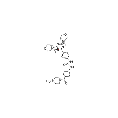 CN1CCN(C(=O)c2ccc(NC(=O)Nc3ccc(-c4nc(N5C6COCC5C(F)(F)C6)nc(N5C6COCC5C(F)(F)C6)n4)cc3)cc2)CC1